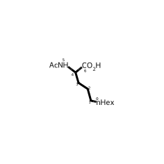 CCCCCCCCCC(NC(C)=O)C(=O)O